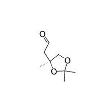 CC1(C)OC[C@](C)(CC=O)O1